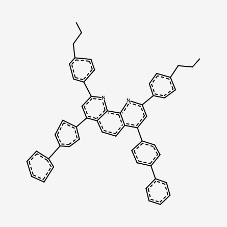 CCCc1ccc(-c2cc(-c3ccc(-c4ccccc4)cc3)c3ccc4c(-c5ccc(-c6ccccc6)cc5)cc(-c5ccc(CCC)cc5)nc4c3n2)cc1